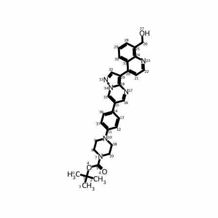 CC(C)(C)OC(=O)N1CCN(c2ccc(-c3cnc4c(-c5ccnc6c(CO)cccc56)cnn4c3)cc2)CC1